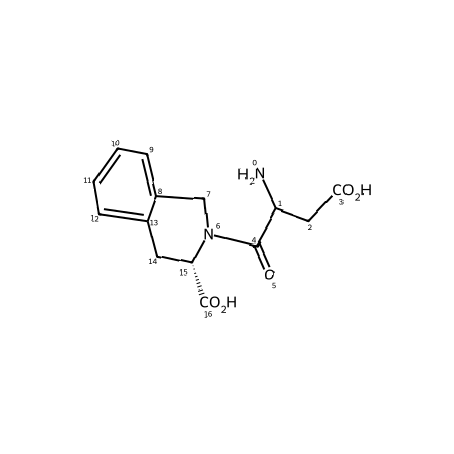 NC(CC(=O)O)C(=O)N1Cc2ccccc2C[C@H]1C(=O)O